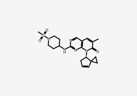 Cc1cc2cnc(NC3CCN(S(C)(=O)=O)CC3)nc2n([C@@H]2CC=CC23CC3)c1=O